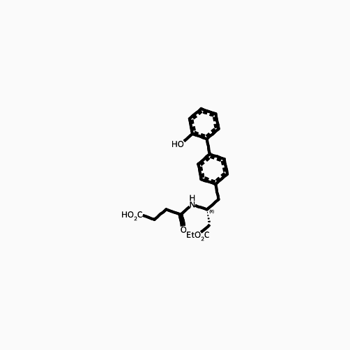 CCOC(=O)C[C@@H](Cc1ccc(-c2ccccc2O)cc1)NC(=O)CCC(=O)O